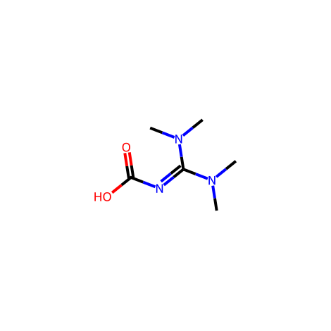 CN(C)C(=NC(=O)O)N(C)C